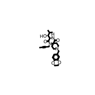 CC#CCN1C(=O)[C@@H]([C@H](O)C(C)C)NC(=O)C12CCN(Cc1ccc3c(c1)OCCO3)CC2